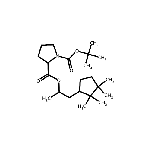 CC(CC1CCC(C)(C)C1(C)C)OC(=O)C1CCCN1C(=O)OC(C)(C)C